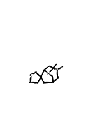 CN1CC2CN(C)C(C1)C1(CCOC1)C2